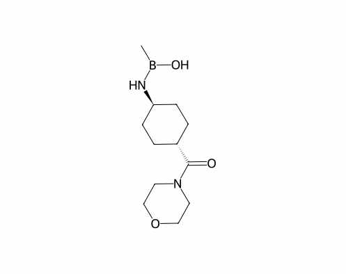 CB(O)N[C@H]1CC[C@H](C(=O)N2CCOCC2)CC1